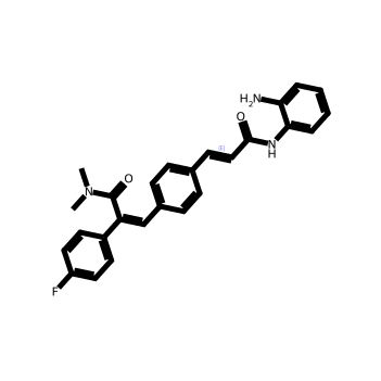 CN(C)C(=O)C(=Cc1ccc(/C=C/C(=O)Nc2ccccc2N)cc1)c1ccc(F)cc1